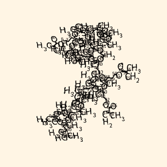 C=C(C)C(=O)OCCC[Si]1(C)O[Si](C)(C)O[Si](C)(CC[Si](C)(C)O[Si](C)(C)O[Si](C)(C)CC[Si]2(C)O[SiH2]O[Si](C)(CCC[Si]3(C)O[Si](C)(CCCOC(=O)C(=C)C)O[Si](C)(CCCOC(=O)C(=C)C)O[Si](C)(CC[Si](C)(C)O[Si](C)(C)O[Si](C)(C)CC[Si]4(C)O[SiH2]O[Si](C)(CC)O[Si](C)(CC[Si](C)(C)O)O4)O3)O[Si](C)(CC[Si](C)(C)O)O2)O[Si](C)(CCCOC(=O)C(=C)C)O1